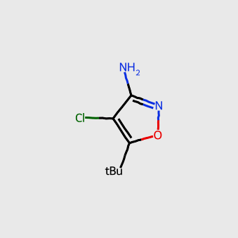 CC(C)(C)c1onc(N)c1Cl